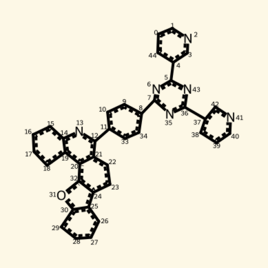 c1cncc(-c2nc(-c3ccc(-c4nc5ccccc5c5c4ccc4c6ccccc6oc45)cc3)nc(-c3cccnc3)n2)c1